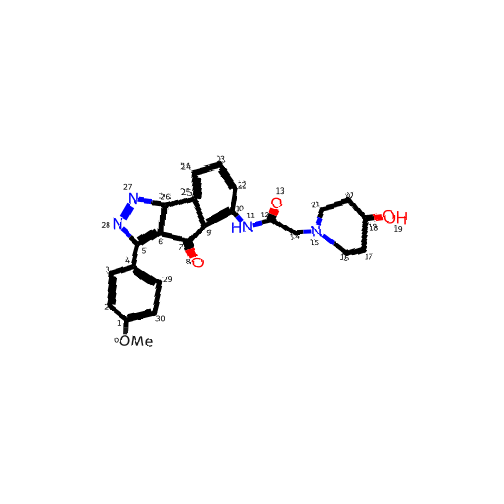 COc1ccc(C2=C3C(=O)c4c(NC(=O)CN5CCC(O)CC5)cccc4C3N=N2)cc1